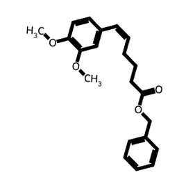 COc1ccc(/C=C\CCCC(=O)OCc2ccccc2)cc1OC